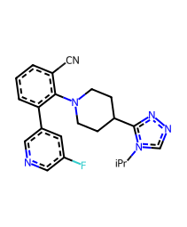 CC(C)n1cnnc1C1CCN(c2c(C#N)cccc2-c2cncc(F)c2)CC1